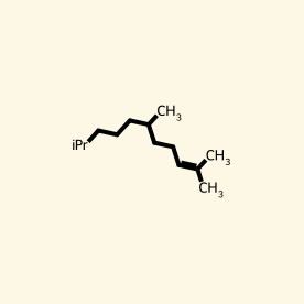 [CH2]C(C)CCCC(C)CCC=C(C)C